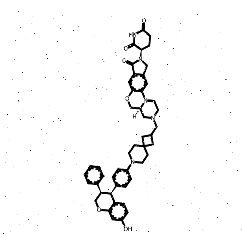 O=C1CC[C@@H](N2Cc3cc4c(cc3C2=O)OC[C@@H]2CN(CC3CC5(CCN(c6ccc([C@H]7c8ccc(O)cc8OC[C@H]7c7ccccc7)cc6)CC5)C3)CCN42)C(=O)N1